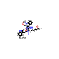 CCC(=O)CCCCC[C@H](NC(=O)Cc1c(C)[nH]c2ccc(OC)cc12)C1=[N+]C=C(c2ccccc2N2CCOCC2)N1